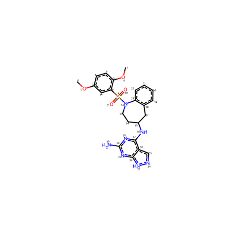 COc1ccc(OC)c(S(=O)(=O)N2CCC(Nc3nc(N)nc4[nH]ncc34)Cc3ccccc32)c1